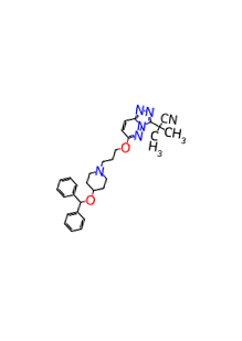 CC(C)(C#N)c1nnc2ccc(OCCCN3CCC(OC(c4ccccc4)c4ccccc4)CC3)nn12